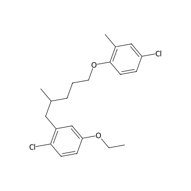 CCOc1ccc(Cl)c(CC(C)CCCOc2ccc(Cl)cc2C)c1